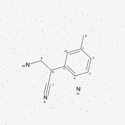 Cc1cccc(C(C#N)C[N])c1.[N]